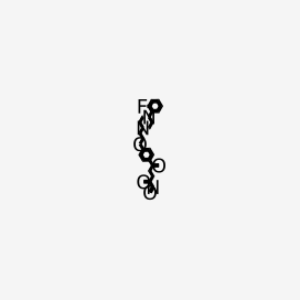 O=NC(=O)CCC(=O)c1ccc(OCCN2CCN(c3ccccc3F)CC2)cc1